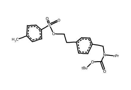 CCCN(Cc1ccc(CCOS(=O)(=O)c2ccc(C)cc2)cc1)C(=O)OC(C)(C)C